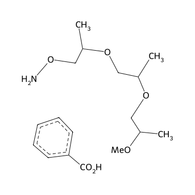 COC(C)COC(C)COC(C)CON.O=C(O)c1ccccc1